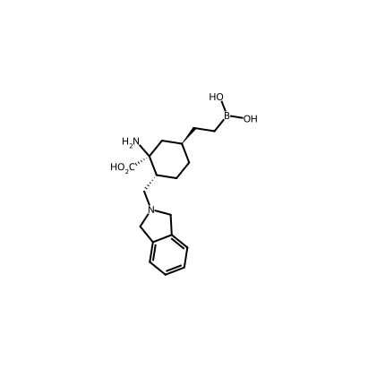 N[C@@]1(C(=O)O)C[C@@H](CCB(O)O)CC[C@@H]1CN1Cc2ccccc2C1